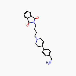 NCc1ccc(C2=CCN(CCCCN3C(=O)c4ccccc4C3=O)CC2)cc1